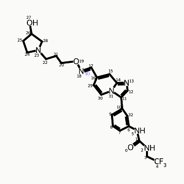 O=C(NCC(F)(F)F)Nc1cccc(-c2cnc3cc(/C=N/OCCCN4CCC(O)C4)ccn23)c1